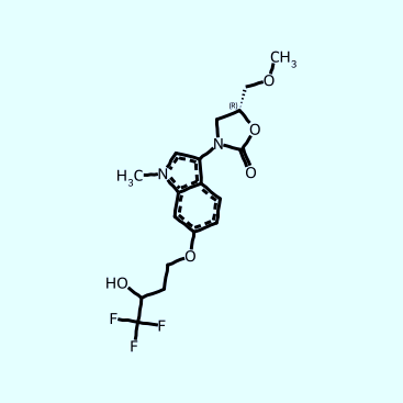 COC[C@H]1CN(c2cn(C)c3cc(OCCC(O)C(F)(F)F)ccc23)C(=O)O1